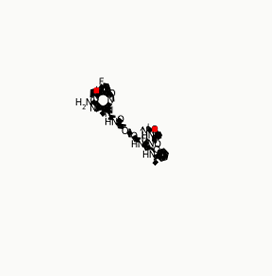 CC[C@H](NC(=O)[C@H]1C[C@@H](NCCOCCOCCC(=O)NCCn2nc3c(c2C)-c2cnc(N)c(c2)N2CCC[C@@H]2C2C=C(F)C=CC2C(=O)N(C)C3)CN1C(=O)[C@H](NC(=O)[C@@H](C)NC)C(C)(C)C)c1ccccc1